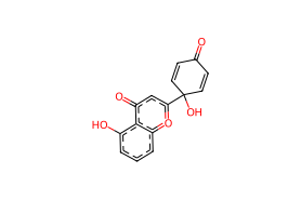 O=C1C=CC(O)(c2cc(=O)c3c(O)cccc3o2)C=C1